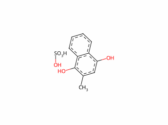 Cc1cc(O)c2ccccc2c1O.O=S(=O)(O)O